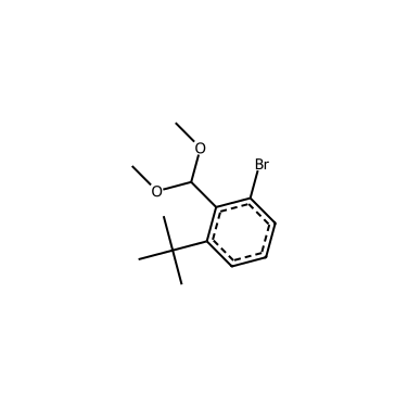 COC(OC)c1c(Br)cccc1C(C)(C)C